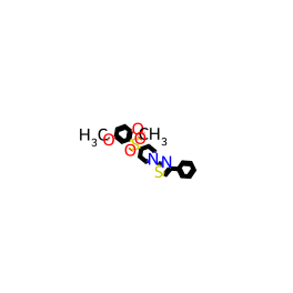 COc1ccc(OC)c(S(=O)(=O)C2CCN(c3nc(-c4ccccc4)cs3)CC2)c1